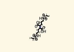 CCS(=O)(=O)NCCC/C(C(=O)O)=C(/CCCNS(=O)(=O)CC)C(=O)O